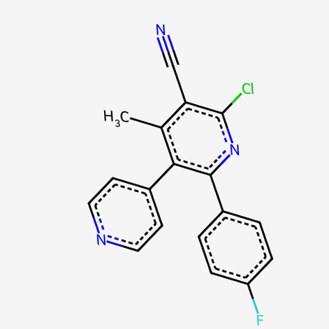 Cc1c(C#N)c(Cl)nc(-c2ccc(F)cc2)c1-c1ccncc1